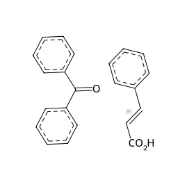 O=C(O)/C=C/c1ccccc1.O=C(c1ccccc1)c1ccccc1